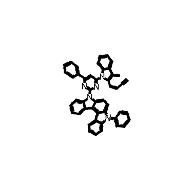 C#C/C=C\c1c(C)c2ccccc2n1-c1cc(-c2ccccc2)nc(-n2c3ccccc3c3c4c5ccccc5n(-c5ccccc5)c4ccc32)n1